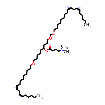 CCCCC/C=C\C/C=C\CCCCCCCCOCCCCCC(CCCOCOCCCCCCCC/C=C\C/C=C\CCCCC)OC(=O)CCCN(C)C